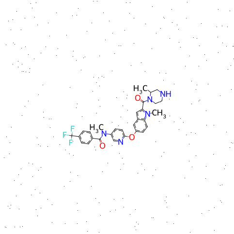 CC1CNCCN1C(=O)c1cc2cc(Oc3ccc(N(C)C(=O)c4ccc(C(F)(F)F)cc4)cn3)ccc2n1C